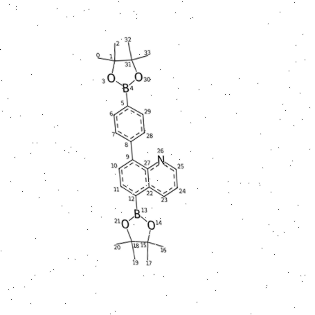 CC1(C)OB(c2ccc(-c3ccc(B4OC(C)(C)C(C)(C)O4)c4cccnc34)cc2)OC1(C)C